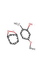 CCCCCOc1ccc(C(=O)O)c(O)c1.c1cc2cc(c1)OO2